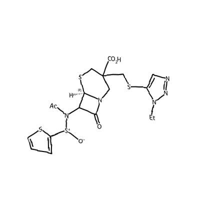 CCn1nncc1SCC1(C(=O)O)CS[C@@H]2C(N(C(C)=O)[S+]([O-])c3cccs3)C(=O)N2C1